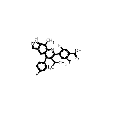 Cc1c2nc(-c3cc(F)c(C(=O)O)cc3F)c(C(C)C)c(-c3ccc(F)cc3)c2cc2cn[nH]c12